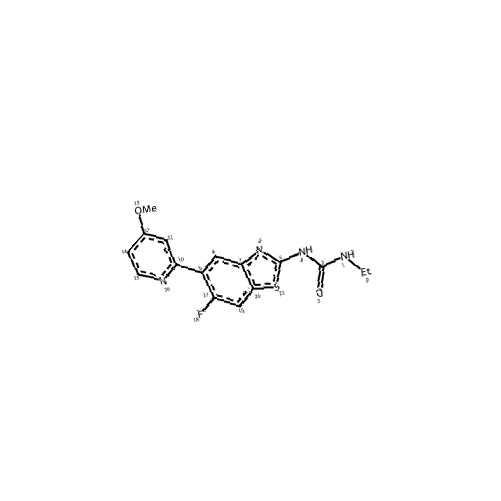 CCNC(=O)Nc1nc2cc(-c3cc(OC)ccn3)c(F)cc2s1